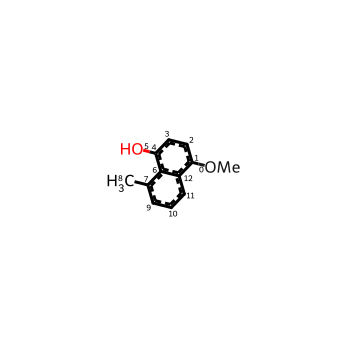 COc1ccc(O)c2c(C)cccc12